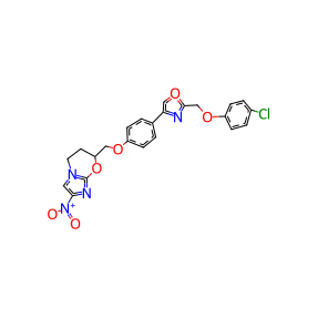 O=[N+]([O-])c1cn2c(n1)OC(COc1ccc(-c3coc(COc4ccc(Cl)cc4)n3)cc1)CC2